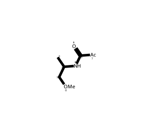 COCC(C)NC(=O)C(C)=O